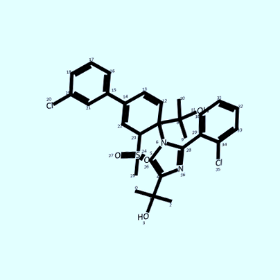 CC(C)(O)c1cn(C2(C(C)(C)O)C=CC(c3cccc(Cl)c3)=CC2S(C)(=O)=O)c(-c2ccccc2Cl)n1